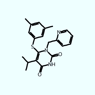 Cc1cc(C)cc(Sc2c(C(C)C)c(=O)[nH]c(=O)n2Cc2ccccn2)c1